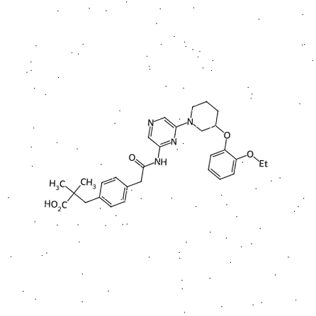 CCOc1ccccc1OC1CCCN(c2cncc(NC(=O)Cc3ccc(CC(C)(C)C(=O)O)cc3)n2)C1